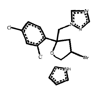 Clc1ccc(C2(Cn3cncn3)CC(Br)CO2)c(Cl)c1.c1cc[nH]c1